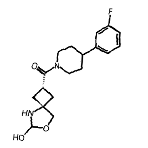 O=C([C@H]1C[C@]2(COC(O)N2)C1)N1CCC(c2cccc(F)c2)CC1